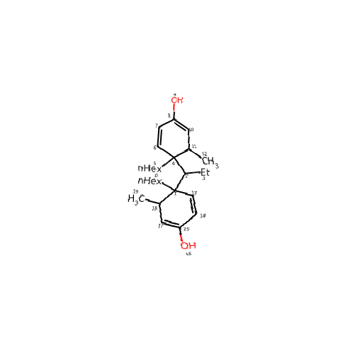 CCCCCCC1(C(CC)C2(CCCCCC)C=CC(O)=CC2C)C=CC(O)=CC1C